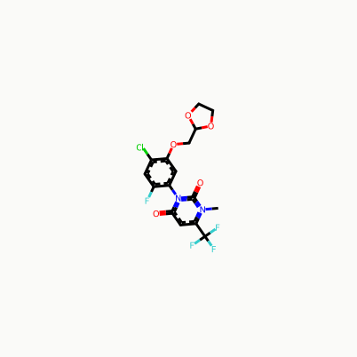 Cn1c(C(F)(F)F)cc(=O)n(-c2cc(OCC3OCCO3)c(Cl)cc2F)c1=O